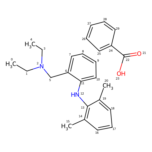 CCN(CC)Cc1ccccc1Nc1c(C)cccc1C.O=C(O)c1ccccc1